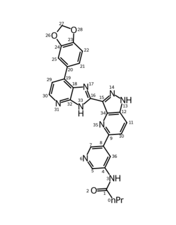 CCCC(=O)Nc1cncc(-c2ccc3[nH]nc(-c4nc5c(-c6ccc7c(c6)OCO7)ccnc5[nH]4)c3n2)c1